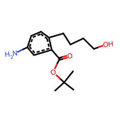 CC(C)(C)OC(=O)c1cc(N)ccc1CCCCO